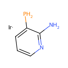 Nc1ncccc1P.[Ir]